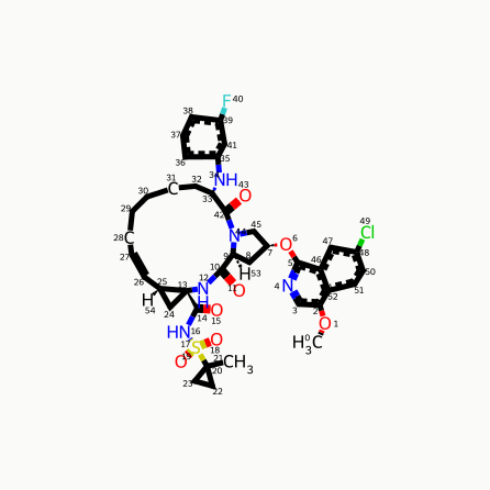 COc1cnc(O[C@@H]2C[C@H]3C(=O)N[C@]4(C(=O)NS(=O)(=O)C5(C)CC5)C[C@H]4/C=C\CCCCC[C@H](Nc4cccc(F)c4)C(=O)N3C2)c2cc(Cl)ccc12